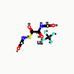 F[B-](F)(F)F.O=C=NSC(=O)C(=O)N=C=O.[Li+]